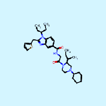 CCC(C)C1CN(C2CCCCC2)CCN1C(=O)CNC(=O)c1ccc2c(c1)nc(Cc1cccs1)n2C(CC)CC